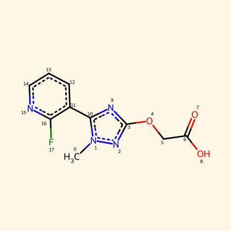 Cn1nc(OCC(=O)O)nc1-c1cccnc1F